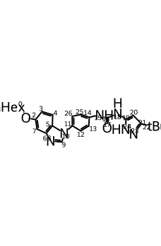 CCCCCCOc1ccc2c(c1)ncn2-c1ccc(NC(=O)Nc2cc(C(C)(C)C)n[nH]2)cc1